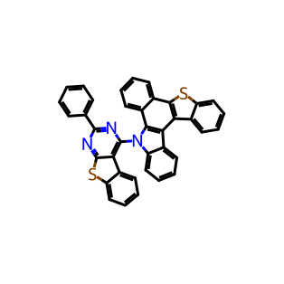 c1ccc(-c2nc(-n3c4ccccc4c4c5c6ccccc6sc5c5ccccc5c43)c3c(n2)sc2ccccc23)cc1